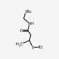 CCSC(C)CC(=O)NCC(C)(C)C